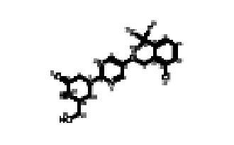 O=C1CN(c2ncc(OCc3c(Cl)cccc3C(F)(F)F)cn2)CC(CO)N1